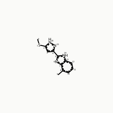 CSc1cc(-c2nc3c(C)cccc3[nH]2)n[nH]1